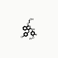 CC(C)Oc1ccc(Nc2nc(OCCO)c3ccccc3c2Cc2ccc(Cl)cc2)cc1F